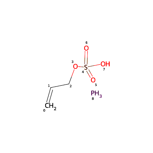 C=CCOS(=O)(=O)O.P